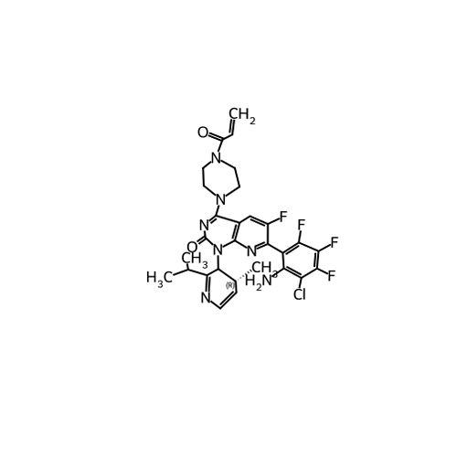 C=CC(=O)N1CCN(c2nc(=O)n(C3C(C(C)C)=NC=C[C@H]3C)c3nc(-c4c(N)c(Cl)c(F)c(F)c4F)c(F)cc23)CC1